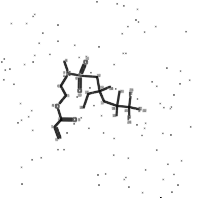 C=CC(=O)OCCN(C)S(=O)(=O)CC(C)(CC)CC(C)(C)C(F)(F)F